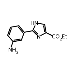 CCOC(=O)c1c[nH]c(-c2cccc(N)c2)n1